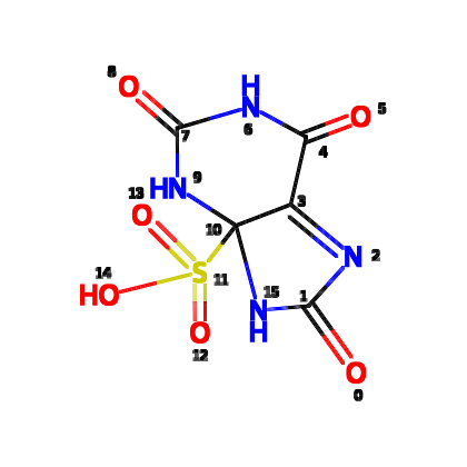 O=C1N=C2C(=O)NC(=O)NC2(S(=O)(=O)O)N1